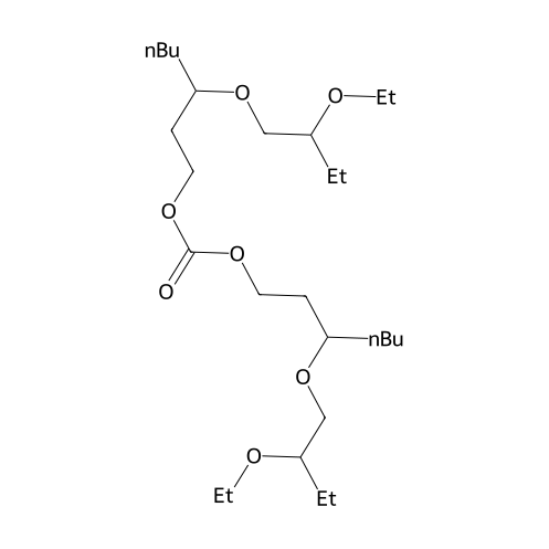 CCCCC(CCOC(=O)OCCC(CCCC)OCC(CC)OCC)OCC(CC)OCC